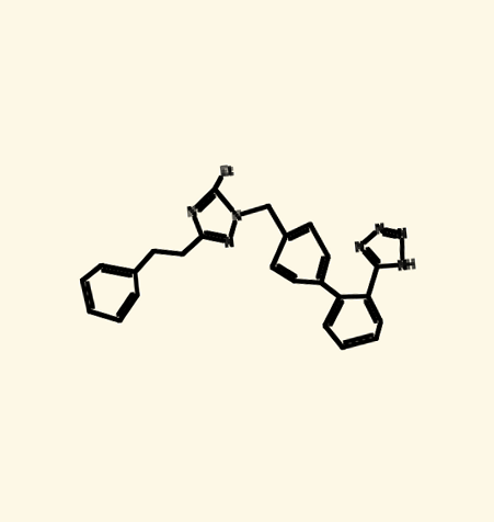 CCc1nc(CCc2ccccc2)nn1Cc1ccc(-c2ccccc2-c2nnn[nH]2)cc1